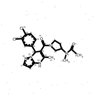 CC(=O)N(C)C1CCN(C(=O)C2=C(C)Nc3ccnn3C2c2ccc(Cl)c(Cl)c2)C1